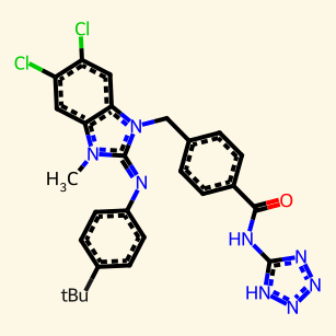 Cn1c(=Nc2ccc(C(C)(C)C)cc2)n(Cc2ccc(C(=O)Nc3nnn[nH]3)cc2)c2cc(Cl)c(Cl)cc21